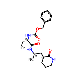 CC(C)C[C@H](NC(=O)OCc1ccccc1)C(=O)N[C@H](C#N)C[C@@H]1CCCNC1=O